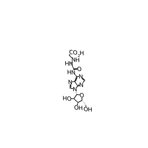 O=C(O)CNNC(=O)Nc1ncnc2c1ncn2[C@@H]1O[C@H](CO)[C@@H](O)[C@H]1O